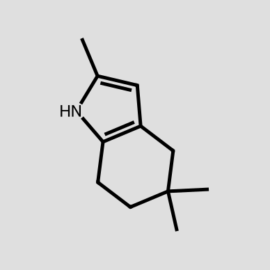 Cc1cc2c([nH]1)CCC(C)(C)C2